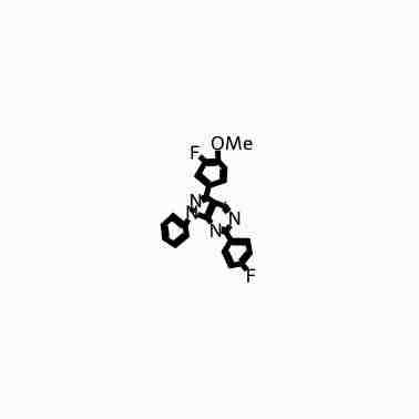 COc1ccc(-c2nn(-c3ccccc3)c3nc(-c4ccc(F)cc4)n[c]c23)cc1F